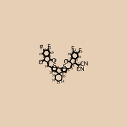 N#CC(C#N)=C1/C(=C/c2cc3c(s2)-c2sc(C=C4C(=O)c5cc(F)c(F)cc5C4=O)cc2C32CCCCC2)C(=O)c2cc(F)c(F)cc21